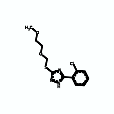 COCCOCSc1n[nH]c(-c2ccccc2Cl)n1